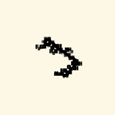 CN/C=C\C(=N)CC(=O)NC1NN=C(CCCC/C(N)=C/C=C(\N)NC(=O)Cc2cccc(OC(F)(F)F)c2)S1